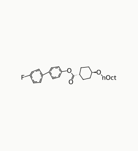 CCCCCCCCO[C@H]1CC[C@H](C(=O)Oc2ccc(-c3ccc(F)cc3)cc2)CC1